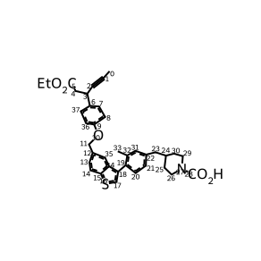 CC#CC(CC(=O)OCC)c1ccc(OCc2ccc3scc(-c4ccc(CC5CCN(C(=O)O)CC5)cc4C)c3c2)cc1